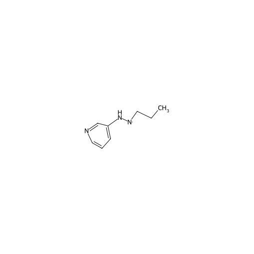 CCC[N]Nc1cccnc1